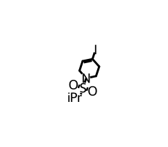 CC(C)S(=O)(=O)N1CC=C(I)CC1